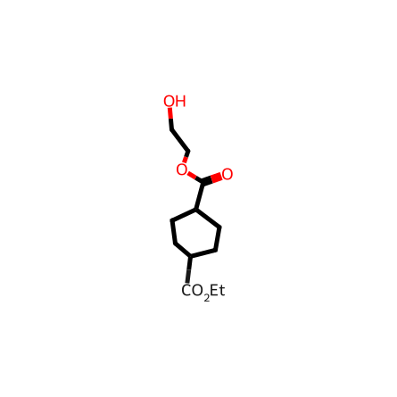 CCOC(=O)C1CCC(C(=O)OCCO)CC1